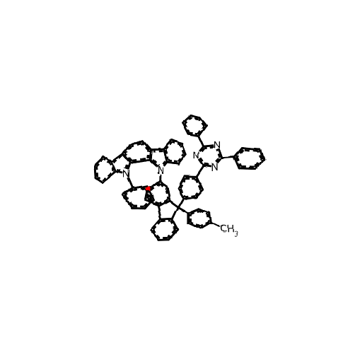 Cc1ccc(C2(c3ccc(-c4nc(-c5ccccc5)nc(-c5ccccc5)n4)cc3)c3ccccc3-c3ccc(-n4c5ccccc5c5ccc6c7ccccc7n(-c7ccccc7)c6c54)cc32)cc1